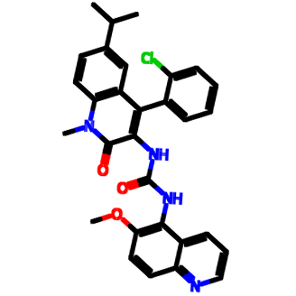 COc1ccc2ncccc2c1NC(=O)Nc1c(-c2ccccc2Cl)c2cc(C(C)C)ccc2n(C)c1=O